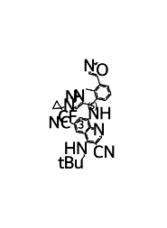 Cc1c(-c2cnco2)cccc1[C@H](Nc1cc(C#N)cc2c(NCC(C)(C)C)c(C#N)cnc12)c1cn(C2(C(F)(F)F)CC2)nn1